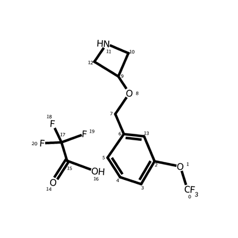 FC(F)(F)Oc1cccc(COC2CNC2)c1.O=C(O)C(F)(F)F